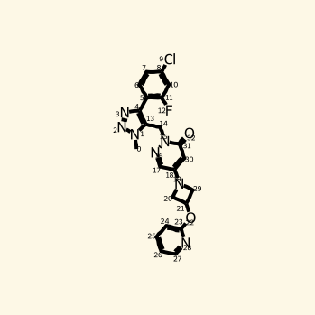 Cn1nnc(-c2ccc(Cl)cc2F)c1Cn1ncc(N2CC(Oc3ccccn3)C2)cc1=O